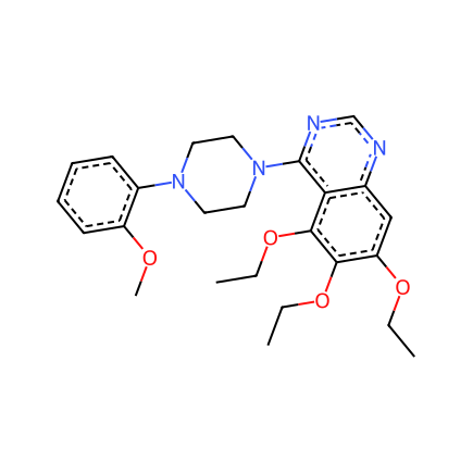 CCOc1cc2ncnc(N3CCN(c4ccccc4OC)CC3)c2c(OCC)c1OCC